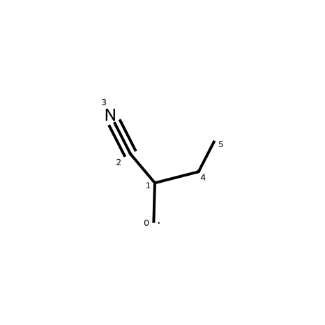 [CH2]C(C#N)CC